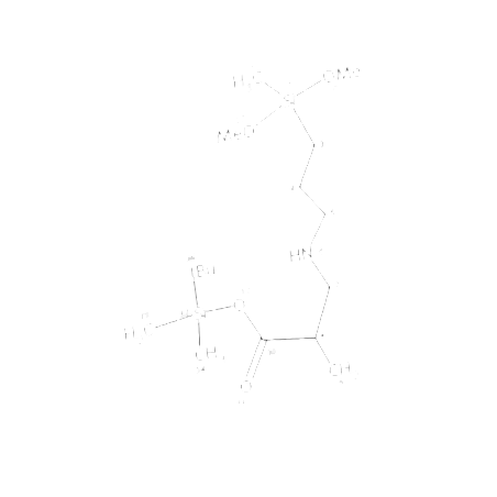 CO[Si](C)(CCCNCC(C)C(=O)O[Si](C)(C)C(C)(C)C)OC